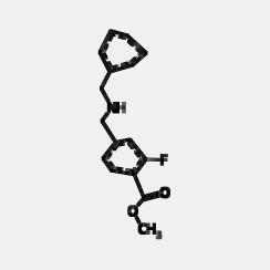 COC(=O)c1ccc(CNCc2ccccc2)cc1F